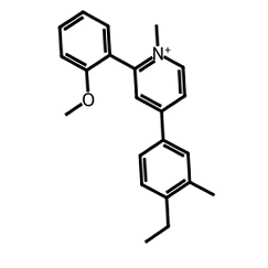 CCc1ccc(-c2cc[n+](C)c(-c3ccccc3OC)c2)cc1C